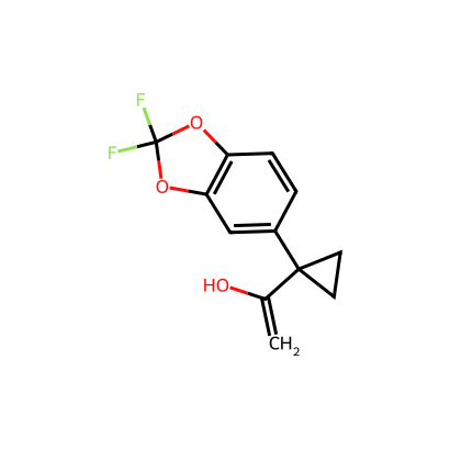 C=C(O)C1(c2ccc3c(c2)OC(F)(F)O3)CC1